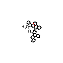 CC1(C)C2=CC(N(c3ccc(-c4ccc5ccccc5c4-c4ccccc4)cc3)c3ccccc3-c3ccccc3)=CCC2c2ccccc21